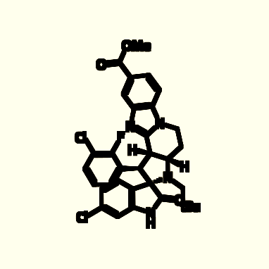 COC(=O)c1ccc2c(c1)nc1n2CC[C@H]2[C@@H]1[C@H](c1cccc(Cl)c1F)[C@]1(C(=O)Nc3cc(Cl)ccc31)N2CC(C)(C)C